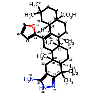 CC1(C)CC[C@]2(C(=O)O)CC[C@]3(C)C(=C(c4ccco4)CC4[C@@]5(C)Cc6c(n[nH]c6N)C(C)(C)[C@@H]5CC[C@]43C)[C@@H]2C1